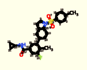 Cc1ccc(S(=O)(=O)n2ccc3cc(-c4cc(C(=O)NC5CC5)cc(F)c4C)ccc32)cc1